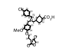 COc1cc(CN(CC2CCC(C(=O)O)CC2)[C@@H](C)c2ccc(Cl)cc2)ccc1OCCN1C(=O)COC1=O